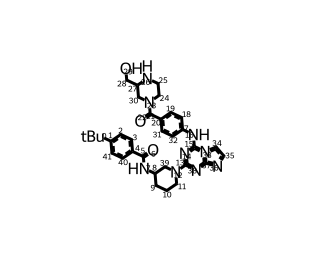 CC(C)(C)c1ccc(C(=O)NC2CCCN(c3nc(Nc4ccc(C(=O)N5CCNC(CO)C5)cc4)n4ccnc4n3)C2)cc1